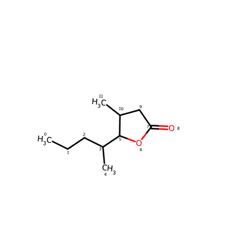 CCCC(C)C1OC(=O)CC1C